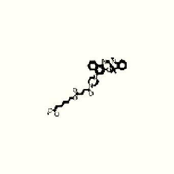 COC(=O)CCCCCOC(=O)CCC(=O)N1CCN(c2cc3c(c4ccccc24)N=CC2(O3)N(C)c3ccccc3C2(C)C)CC1